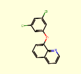 Clc1cc(Cl)cc(Oc2cccc3cccnc23)c1